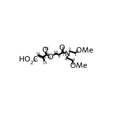 COCCN(CCOC)C(=O)CCOC(=O)/C(C)=C/C(=O)O